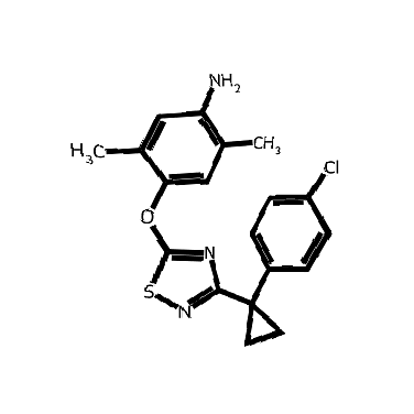 Cc1cc(Oc2nc(C3(c4ccc(Cl)cc4)CC3)ns2)c(C)cc1N